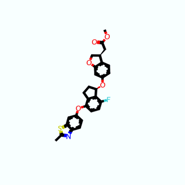 COC(=O)C[C@@H]1COc2cc(O[C@@H]3CCc4c(Oc5ccc6nc(C)sc6c5)ccc(F)c43)ccc21